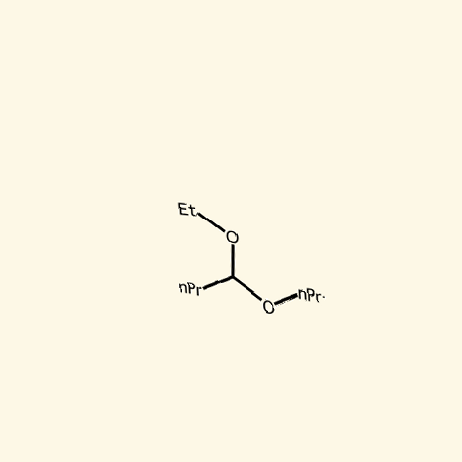 CC[CH]OC(CCC)OCC